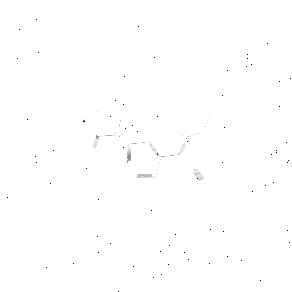 CON=C(C#N)c1cccc(N(C)C(=O)C(F)(F)F)c1